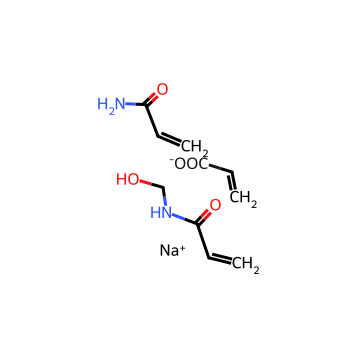 C=CC(=O)NCO.C=CC(=O)[O-].C=CC(N)=O.[Na+]